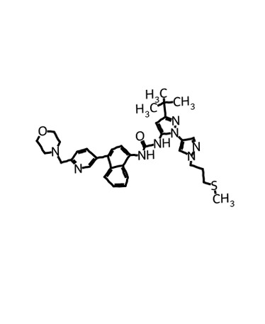 CSCCCn1cc(-n2nc(C(C)(C)C)cc2NC(=O)Nc2ccc(-c3ccc(CN4CCOCC4)nc3)c3ccccc23)cn1